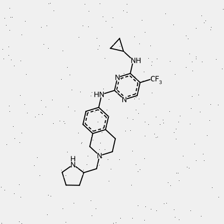 FC(F)(F)c1cnc(Nc2ccc3c(c2)CCN(CC2CCCN2)C3)nc1NC1CC1